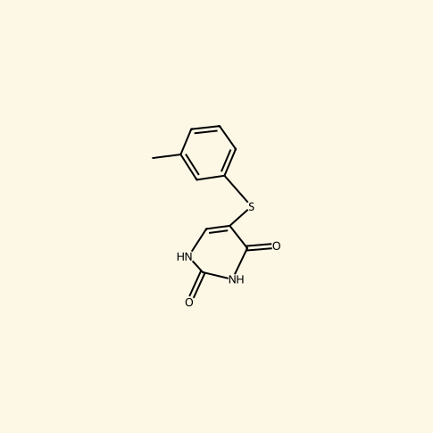 Cc1cccc(Sc2c[nH]c(=O)[nH]c2=O)c1